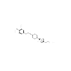 CCCC12COC(C3CCC(C(F)(F)CCc4cc(F)c(C(F)(F)F)c(F)c4)CC3)(OC1)OC2